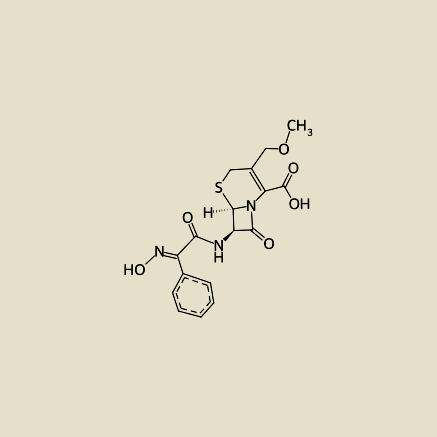 COCC1=C(C(=O)O)N2C(=O)[C@@H](NC(=O)/C(=N/O)c3ccccc3)[C@H]2SC1